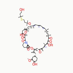 CO[C@@H]1C[C@H](C[C@@H](C)[C@@H]2CC(=O)[C@H](C)/C=C(\C)[C@@H](O)[C@@H](OC)C(=O)[C@H](C)C[C@H](C)/C=C/C=C/C=C(\C)[C@@H](OC(C)(C)CCSC(C)(C)CCO)C[C@@H]3CC[C@@H](C)[C@@](O)(O3)C(=O)C(=O)N3CCCC[C@H]3C(=O)O2)CC[C@H]1O